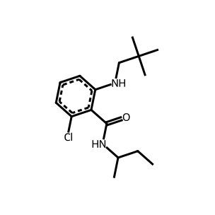 CCC(C)NC(=O)c1c(Cl)cccc1NCC(C)(C)C